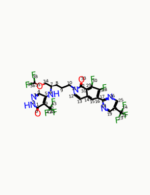 O=c1[nH]ncc(N[C@H](CCCn2ccc3cc(-c4ncc(C(F)(F)F)cn4)c(F)c(F)c3c2=O)COC(F)F)c1C(F)(F)F